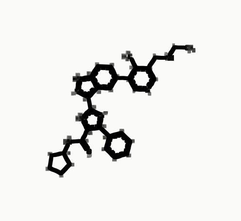 CCNCc1cncc(-c2ccc3[nH]nc(-c4nc(-c5ccccc5)c(C(=O)NC5CCCC5)[nH]4)c3c2)c1C